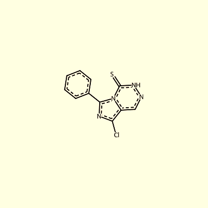 S=c1[nH]ncc2c(Cl)nc(-c3ccccc3)n12